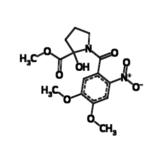 COC(=O)C1(O)CCCN1C(=O)c1cc(OC)c(OC)cc1[N+](=O)[O-]